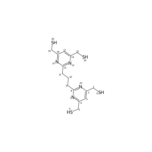 SCc1cc(CS)nc(CCCc2nc(CS)cc(CS)n2)n1